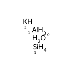 O.[AlH3].[KH].[SiH4]